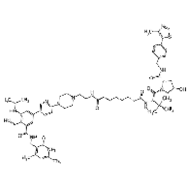 Cc1cc(C)c(CNC(=O)c2cc(-c3ccc(N4CCN(CCNC(=O)CCCCCCC(=O)N[C@H](C(=O)N5C[C@H](O)C[C@H]5C(=O)NCc5ccc(-c6scnc6C)cc5)C(C)(C)C)CC4)nc3)cc(NC(C)C)c2C=N)c(=O)[nH]1